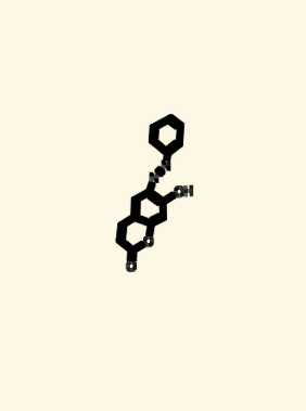 O=c1ccc2cc(/N=N/c3ccccc3)c(O)cc2o1